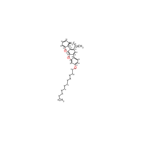 CCCCCCCCCCCCOc1ccc2c(c1)oc1c2cc(C(C)C)c2c3ccccc3oc12